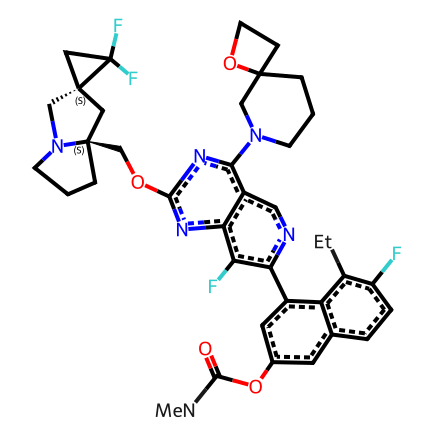 CCc1c(F)ccc2cc(OC(=O)NC)cc(-c3ncc4c(N5CCCC6(CCO6)C5)nc(OC[C@@]56CCCN5C[C@@]5(CC5(F)F)C6)nc4c3F)c12